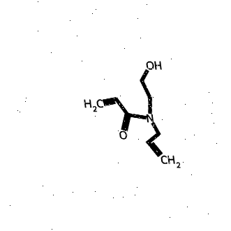 C=CCN(CCO)C(=O)C=C